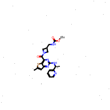 Cc1cc2nc(N[C@@H](C)c3ccccn3)nc(C(=O)N3CC(CNC(=O)OC(C)(C)C)C3)c2s1